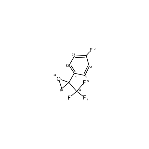 Fc1ccc(C2(C(F)(F)F)CO2)cc1